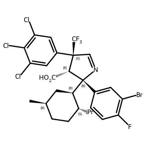 CC(C)[C@@H]1CC[C@@H](C)C[C@H]1[C@@]1(c2ccc(F)c(Br)c2)N=C[C@](c2cc(Cl)c(Cl)c(Cl)c2)(C(F)(F)F)[C@H]1C(=O)O